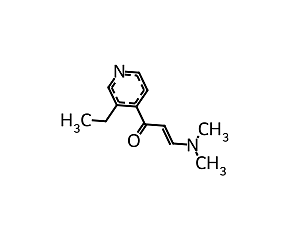 CCc1cnccc1C(=O)C=CN(C)C